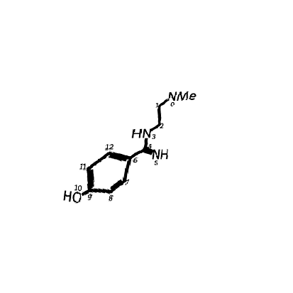 CNCCNC(=N)c1ccc(O)cc1